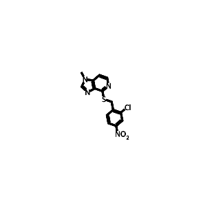 Cn1cnc2c(SCc3ccc([N+](=O)[O-])cc3Cl)nccc21